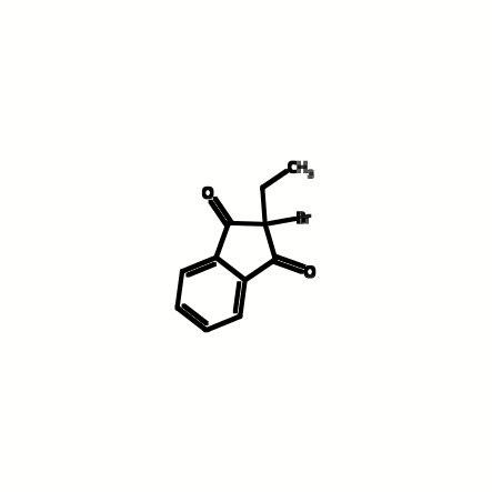 CCC1(Br)C(=O)c2ccccc2C1=O